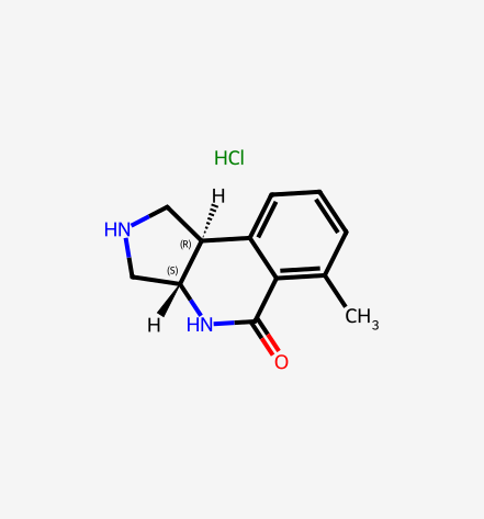 Cc1cccc2c1C(=O)N[C@@H]1CNC[C@@H]21.Cl